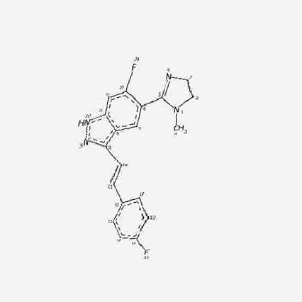 CN1CCN=C1c1cc2c(C=Cc3ccc(F)cc3)n[nH]c2cc1F